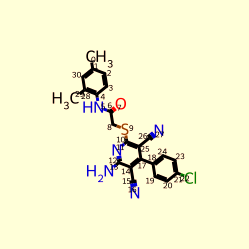 Cc1ccc(NC(=O)CSc2nc(N)c(C#N)c(-c3ccc(Cl)cc3)c2C#N)c(C)c1